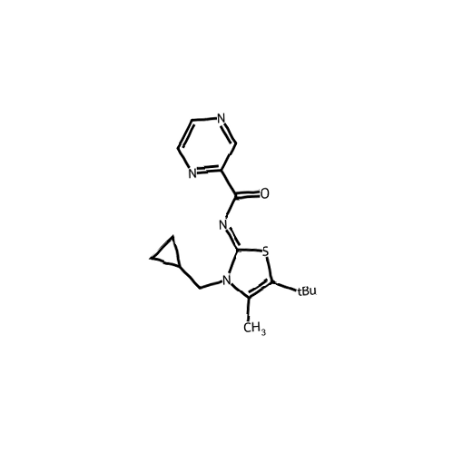 Cc1c(C(C)(C)C)s/c(=N\C(=O)c2cnccn2)n1CC1CC1